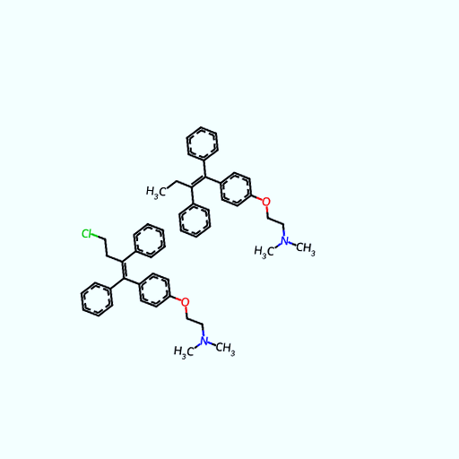 CC/C(=C(\c1ccccc1)c1ccc(OCCN(C)C)cc1)c1ccccc1.CN(C)CCOc1ccc(/C(=C(/CCCl)c2ccccc2)c2ccccc2)cc1